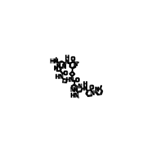 CNc1cc(Nc2cc(C3CC(NC(=O)c4cnn5c(NC)cc(Nc6cccn(-c7cccc(C)n7)c6=O)nc45)C3)cn(C)c2=O)nc2c(C(=O)NC3CCC3)cnn12